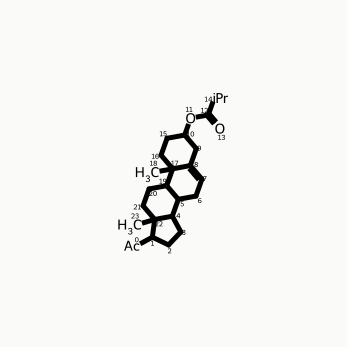 CC(=O)C1CCC2C3CC=C4CC(OC(=O)C(C)C)CCC4(C)C3CCC12C